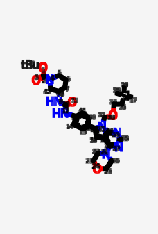 CC(C)(C)OC(=O)N1CCC[C@H](NC(=O)Nc2ccc(-c3cc4c(N5CCOCC5)ncnc4n3COCC[Si](C)(C)C)cc2)C1